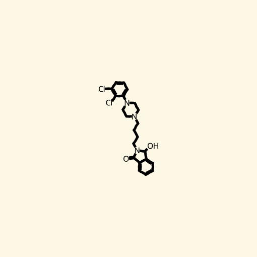 O=C1c2ccccc2C(O)N1CCCCN1CCN(c2cccc(Cl)c2Cl)CC1